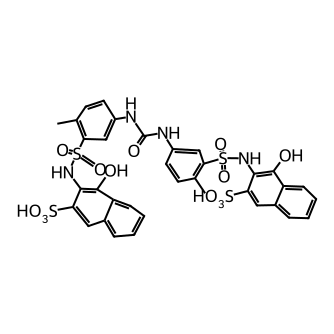 Cc1ccc(NC(=O)Nc2ccc(C)c(S(=O)(=O)Nc3c(S(=O)(=O)O)cc4ccccc4c3O)c2)cc1S(=O)(=O)Nc1c(S(=O)(=O)O)cc2ccccc2c1O